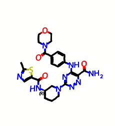 Cc1ncc(C(=O)N[C@@H]2CCCN(c3nnc(C(N)=O)c(Nc4ccc(C(=O)N5CCOCC5)cc4)n3)C2)s1